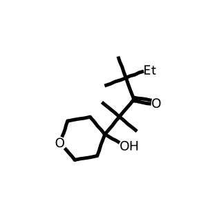 CCC(C)(C)C(=O)C(C)(C)C1(O)CCOCC1